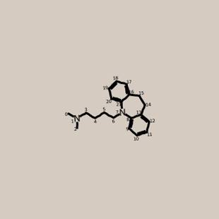 CN(C)CCCCN1c2ccccc2CCc2ccccc21